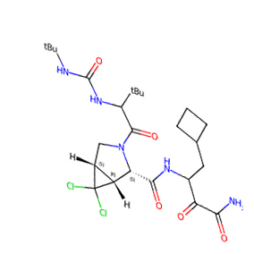 CC(C)(C)NC(=O)NC(C(=O)N1C[C@@H]2[C@H]([C@H]1C(=O)NC(CC1CCC1)C(=O)C(N)=O)C2(Cl)Cl)C(C)(C)C